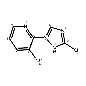 O=[N+]([O-])c1cccnc1S1=CN=C(Cl)N1